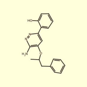 CC(Cc1ccccc1)Oc1cc(-c2ccccc2O)nnc1N